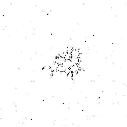 CC(C)OC(=O)C(CCOP1(=O)OC[C@@H](O[C@H](CCl)n2ccc(=O)[nH]c2=O)[C@H](C)O1)C(=O)OC(C)C